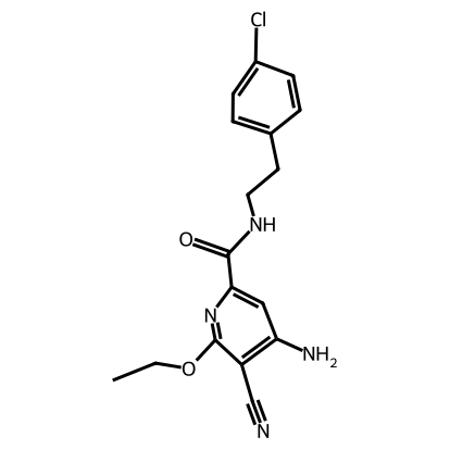 CCOc1nc(C(=O)NCCc2ccc(Cl)cc2)cc(N)c1C#N